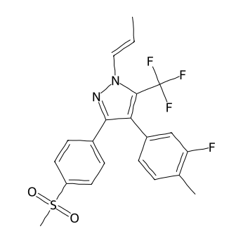 CC=Cn1nc(-c2ccc(S(C)(=O)=O)cc2)c(-c2ccc(C)c(F)c2)c1C(F)(F)F